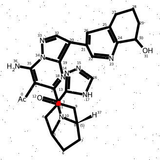 CC(=O)c1c(C2CC3CC[C@@H](C2)N3C(=O)c2nnc[nH]2)nc2c(-c3cnc4c(c3)CCCC4O)cnn2c1N